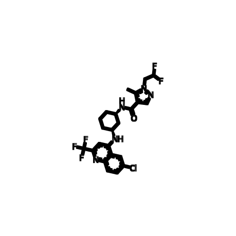 Cc1c(C(=O)N[C@@H]2CCC[C@H](Nc3cc(C(F)(F)F)nc4ccc(Cl)cc34)C2)cnn1CC(F)F